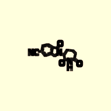 N#Cc1ccc2c(c1)CN(C1CCCC(=O)NC1=O)C2=O